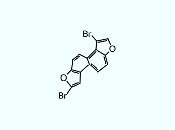 Brc1cc2c(ccc3c2ccc2occ(Br)c23)o1